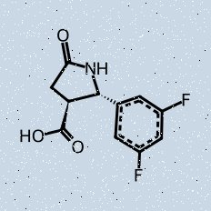 O=C1C[C@H](C(=O)O)[C@@H](c2cc(F)cc(F)c2)N1